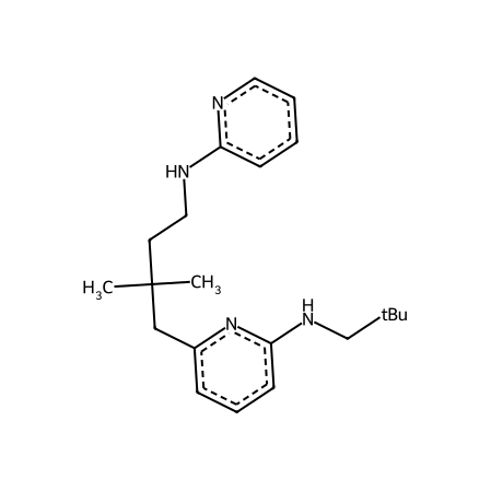 CC(C)(C)CNc1cccc(CC(C)(C)CCNc2ccccn2)n1